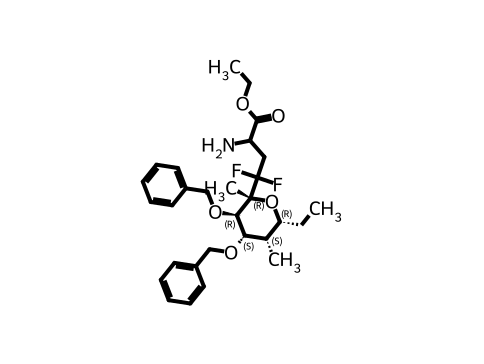 CCOC(=O)C(N)CC(F)(F)[C@]1(C)O[C@H](CC)[C@H](C)[C@H](OCc2ccccc2)[C@H]1OCc1ccccc1